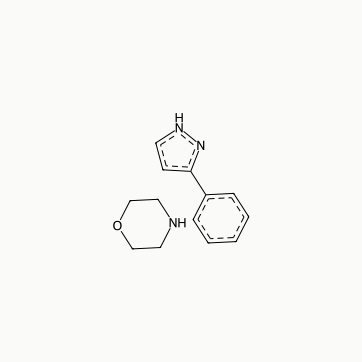 C1COCCN1.c1ccc(-c2cc[nH]n2)cc1